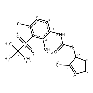 CC(C)(C)S(=O)(=O)c1c(Cl)ccc(NC(=O)NC2CCC=C2Cl)c1O